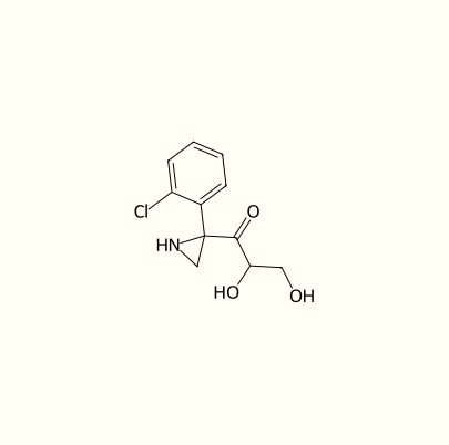 O=C(C(O)CO)C1(c2ccccc2Cl)CN1